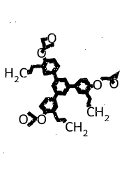 C=CCc1cc(-c2cc(-c3ccc(OC4COC4)c(CC=C)c3)cc(-c3ccc(OC4COC4)c(CC=C)c3)c2)ccc1OCC1CO1